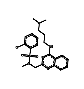 CN(C)CCCNc1nc(CN(C)S(=O)(=O)c2ccccc2Cl)nc2ccccc12